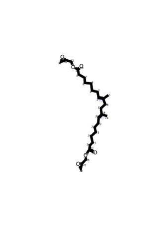 C/C(=C\CCCCCCC(=O)OCC1CO1)CC/C(C)=C/CCCCCCC(=O)OCC1CO1